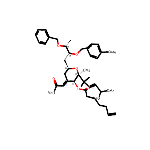 C=CCCCCC(=O)O[C@H]1/C(=C/C(=O)OC)C[C@@H](C[C@@H](OCc2ccc(OC)cc2)[C@@H](C)OCc2ccccc2)O[C@@]1(OC)C(C)(C)/C=C/C(OC)OC